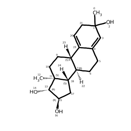 CC1(O)C=C2CC[C@@H]3[C@H](CC[C@]4(C)[C@@H](O)[C@H](O)C[C@@H]34)C2=CC1